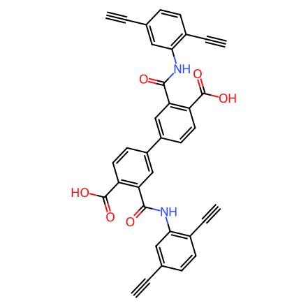 C#Cc1ccc(C#C)c(NC(=O)c2cc(-c3ccc(C(=O)O)c(C(=O)Nc4cc(C#C)ccc4C#C)c3)ccc2C(=O)O)c1